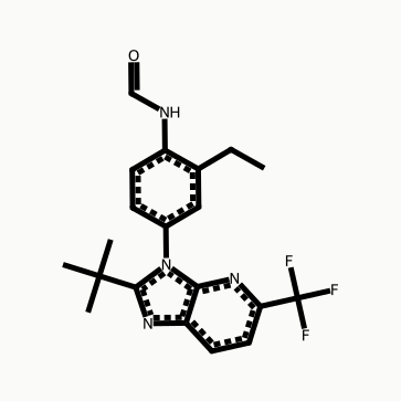 CCc1cc(-n2c(C(C)(C)C)nc3ccc(C(F)(F)F)nc32)ccc1NC=O